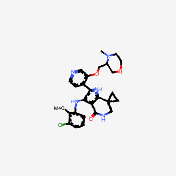 COc1c(Cl)cccc1Nc1c(-c2ccncc2OCC2COCCN2C)[nH]c2c1C(=O)NCC21CC1